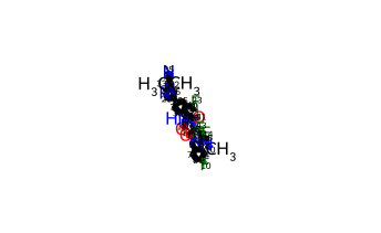 CN1CC(N(Cc2ccc(F)cc2)C(=O)CN2C(=O)N[C@]3(C[C@@H](F)c4cc(-c5cnn(C(C)(C)C#N)c5)ccc43)C2=O)(C(F)(F)F)C1